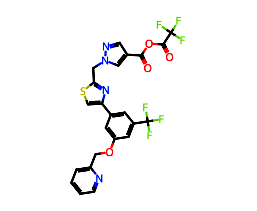 O=C(OC(=O)C(F)(F)F)c1cnn(Cc2nc(-c3cc(OCc4ccccn4)cc(C(F)(F)F)c3)cs2)c1